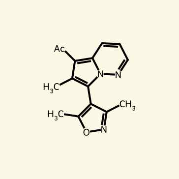 CC(=O)c1c(C)c(-c2c(C)noc2C)n2ncccc12